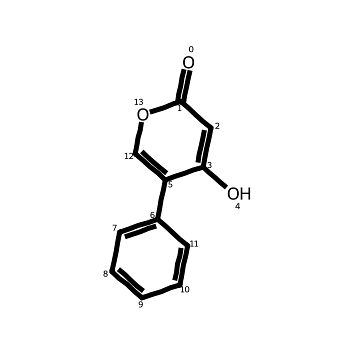 O=c1cc(O)c(-c2ccccc2)co1